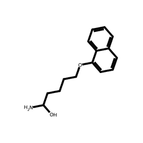 NC(O)CCCCOc1cccc2ccccc12